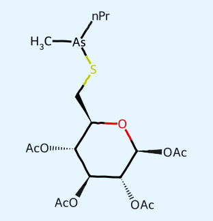 CCC[As](C)SC[C@H]1O[C@@H](OC(C)=O)[C@H](OC(C)=O)[C@@H](OC(C)=O)[C@@H]1OC(C)=O